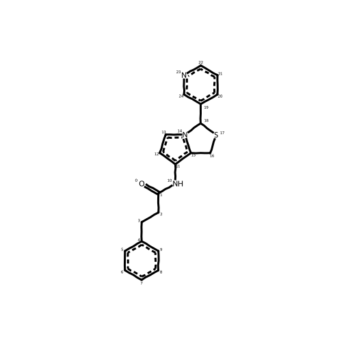 O=C(CCc1ccccc1)Nc1ccn2c1CSC2c1cccnc1